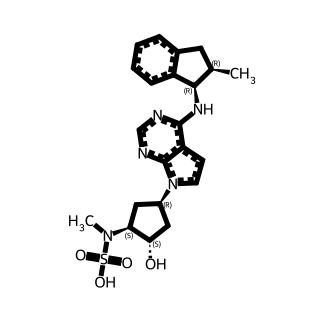 C[C@@H]1Cc2ccccc2[C@@H]1Nc1ncnc2c1ccn2[C@H]1C[C@H](O)[C@@H](N(C)S(=O)(=O)O)C1